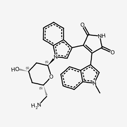 Cn1cc(C2=C(c3cn([C@@H]4C[C@@H](O)C[C@@H](CN)O4)c4ccccc34)C(=O)NC2=O)c2ccccc21